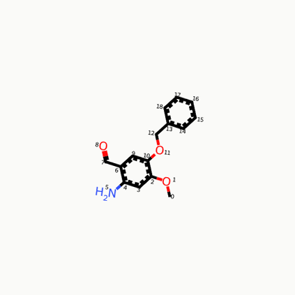 COc1cc(N)c(C=O)cc1OCc1ccccc1